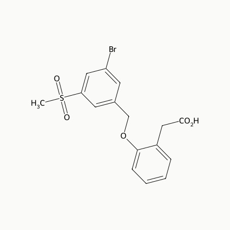 CS(=O)(=O)c1cc(Br)cc(COc2ccccc2CC(=O)O)c1